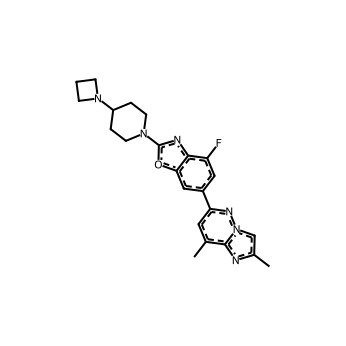 Cc1cn2nc(-c3cc(F)c4nc(N5CCC(N6CCC6)CC5)oc4c3)cc(C)c2n1